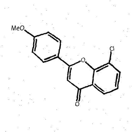 COc1ccc(-c2cc(=O)c3cccc(Cl)c3o2)cc1